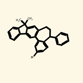 CC1(C)c2ccccc2-c2cc3c(cc21)CCC(c1ccccc1)c1ccc(Br)cc1-3